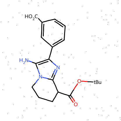 CC(C)(C)OC(=O)C1CCCn2c1nc(-c1cccc(C(=O)O)c1)c2N